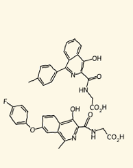 Cc1ccc(-c2nc(C(=O)NCC(=O)O)c(O)c3ccccc23)cc1.Cc1nc(C(=O)NCC(=O)O)c(O)c2ccc(Oc3ccc(F)cc3)cc12